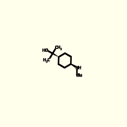 CC(C)(C)N[C@H]1CC[C@H](C(C)(C)O)CC1